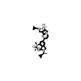 C[C@@H](C1CC1)N1Cc2cc(-c3ccn4nc(N)c(CNC5CC5)c4n3)cc(N(C)S(C)(=O)=O)c2C1=O